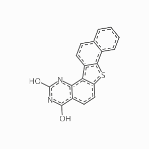 Oc1nc(O)c2ccc3sc4c5ccccc5ccc4c3c2n1